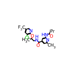 Cc1cc(C(=O)NCC(C)Oc2ncc(C(F)(F)F)cc2Cl)cc(NC(=O)C(C)C)n1